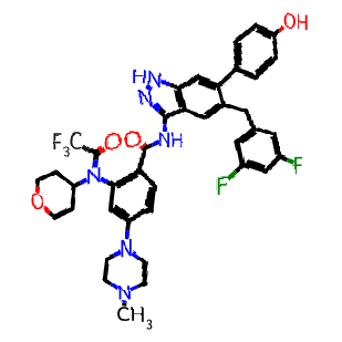 CN1CCN(c2ccc(C(=O)Nc3n[nH]c4cc(-c5ccc(O)cc5)c(Cc5cc(F)cc(F)c5)cc34)c(N(C(=O)C(F)(F)F)C3CCOCC3)c2)CC1